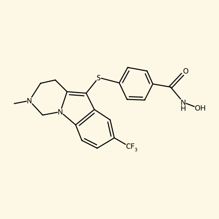 CN1CCc2c(Sc3ccc(C(=O)NO)cc3)c3cc(C(F)(F)F)ccc3n2C1